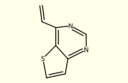 C=Cc1ncnc2ccsc12